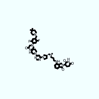 CN(CCCNc1cccc2c1CN(C1CCC(=O)NC1=O)C2=O)C[C@@H]1CCN(c2cc(N3CCC4(CC3)CN(c3cc(F)c(CN5CCC(C)(C)CC5)cc3F)CC(=O)N4)ncn2)C1